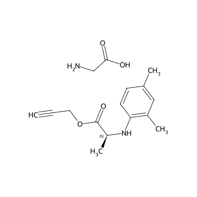 C#CCOC(=O)[C@H](C)Nc1ccc(C)cc1C.NCC(=O)O